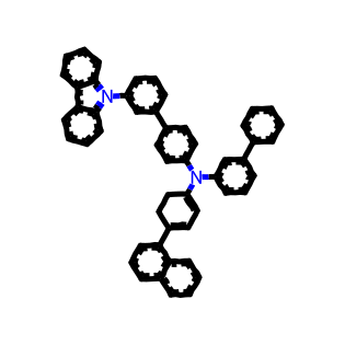 C1=C(c2cccc3ccccc23)CCC(N(c2ccc(-c3cccc(-n4c5ccccc5c5ccccc54)c3)cc2)c2cccc(-c3ccccc3)c2)=C1